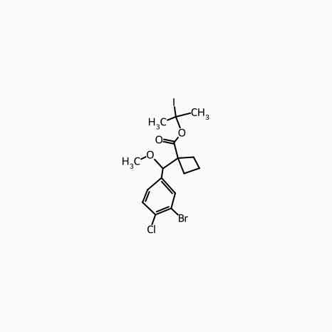 COC(c1ccc(Cl)c(Br)c1)C1(C(=O)OC(C)(C)I)CCC1